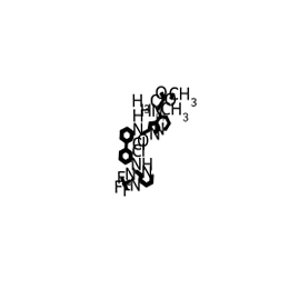 COC(=O)C(C)(C)N[C@H]1CCCn2nc(C(=O)Nc3cccc(-c4cccc(Nc5nc(C(F)(F)F)nc6cccnc56)c4Cl)c3Cl)cc21